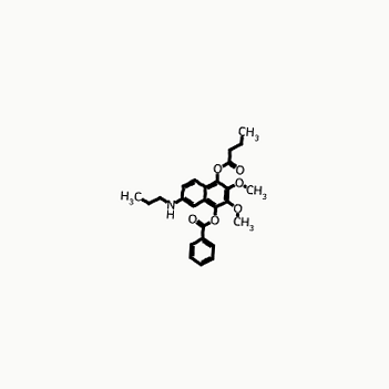 CCCNc1ccc2c(OC(=O)CCC)c(OC)c(OC)c(OC(=O)c3ccccc3)c2c1